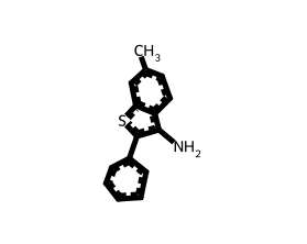 Cc1ccc2c(N)c(-c3ccccc3)sc2c1